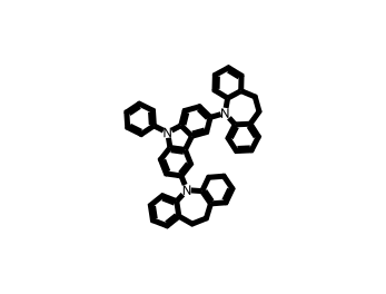 C1=CC2CCc3ccccc3N(c3ccc4c(c3)c3cc(N5C6=C(C=CCC6)CCc6ccccc65)ccc3n4-c3ccccc3)C2C=C1